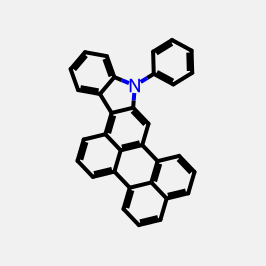 c1ccc(-n2c3ccccc3c3c4cccc5c6cccc7cccc(c(cc32)c54)c76)cc1